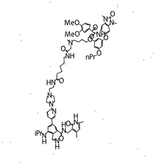 CCCOc1cc(OCCCCN(C)CC(=O)NCCCCCC(=O)NCCN2CCN(c3ccc(-c4cc(NC(C)C)c(C=N)c(C(=O)NCc5c(C)cc(C)[nH]c5=O)c4)cn3)CC2)cc(Oc2cc3c(cc2NS(=O)(=O)c2ccc(OC)c(OC)c2)n(C)c(=O)n3C)c1